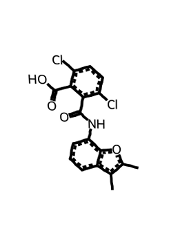 Cc1oc2c(NC(=O)c3c(Cl)ccc(Cl)c3C(=O)O)cccc2c1C